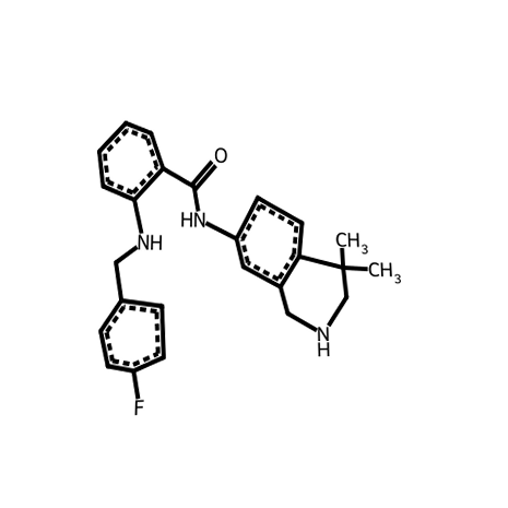 CC1(C)CNCc2cc(NC(=O)c3ccccc3NCc3ccc(F)cc3)ccc21